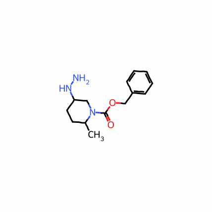 CC1CCC(NN)CN1C(=O)OCc1ccccc1